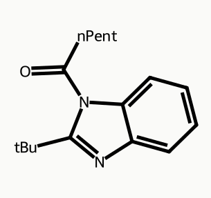 CCCCCC(=O)n1c(C(C)(C)C)nc2ccccc21